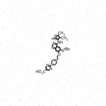 Cc1n[nH]c(Nc2ncnc3cc(OCCN4CCN(c5ncc(C(=O)O)cn5)CC4)c(SC(C)(C)C)cc23)c1C